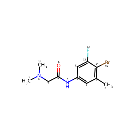 Cc1cc(NC(=O)CN(C)C)cc(F)c1Br